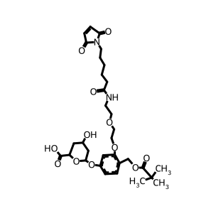 CC(C)(C)C(=O)OCc1ccc(OC2CC(O)CC(C(=O)O)O2)cc1OCCOCCNC(=O)CCCCCN1C(=O)C=CC1=O